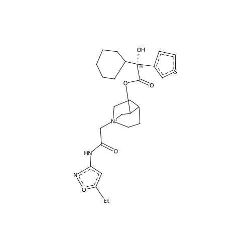 CCc1cc(NC(=O)C[N+]23CCC(CC2)C(OC(=O)[C@](O)(c2ccsc2)C2CCCCC2)C3)no1